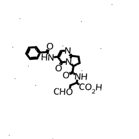 O=CCC(NC(=O)C1CCc2ncc(NC(=O)c3ccccc3)c(=O)n21)C(=O)O